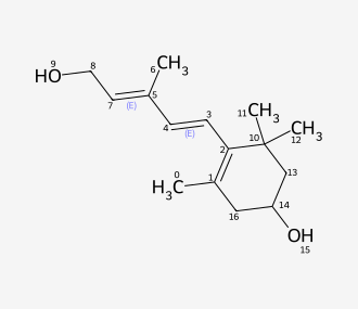 CC1=C(/C=C/C(C)=C/CO)C(C)(C)CC(O)C1